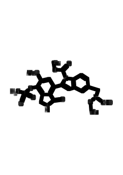 COc1cc(-c2cc3cc(CN(C=O)OC(C)(C)C)ccc3n2C(=O)OC(C)(C)C)c2c(c1OS(C)(=O)=O)CNC2=O